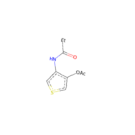 CCC(=O)Nc1cscc1OC(C)=O